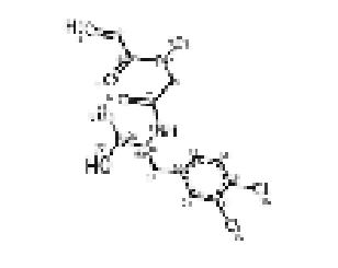 C=CC(=O)N(CC)CC(=O)N[C@@H](Cc1ccc(Cl)c(Cl)c1)B(O)O